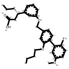 CCCCOc1cc(COc2cccc([C@@H](CCC)CC(=O)O)c2)ccc1-c1cc(OC)ccc1F